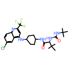 CC(C)(C)NC(=O)N[C@H](C(=O)NC1CCC(Nc2cc(C(F)(F)F)nc3ccc(Cl)cc23)CC1)C(C)(C)C